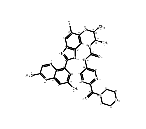 COc1cnc2c(-c3nc4cc(F)c(O[C@@H](C)[C@@H](C)OC(=O)Nc5cnc(C(=O)N6CCOCC6)nc5)cc4s3)cc(C)cc2n1